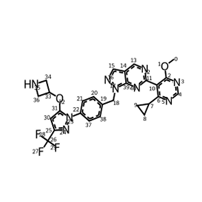 COc1ncnc(C2CC2)c1-c1ncc2cnn(Cc3ccc(-n4nc(C(F)(F)F)cc4OC4CNC4)cc3)c2n1